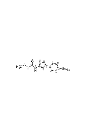 CCCC(=O)Nc1nc(-c2ccc(C#N)cc2)co1